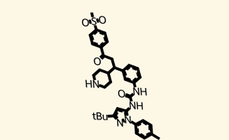 Cc1ccc(-n2nc(C(C)(C)C)cc2NC(=O)Nc2cccc(C(CC(=O)c3ccc(S(C)(=O)=O)cc3)C3CCNCC3)c2)cc1